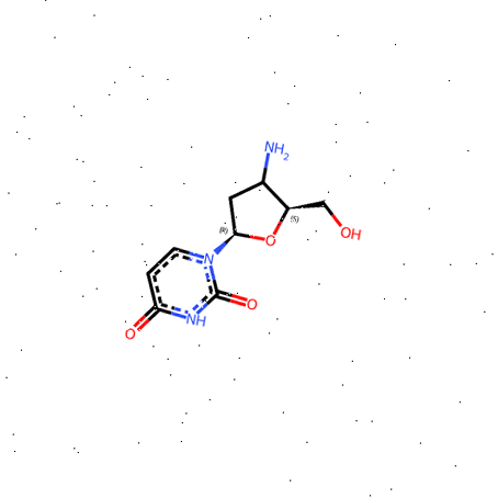 NC1C[C@H](n2ccc(=O)[nH]c2=O)O[C@@H]1[CH]O